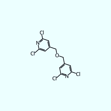 Clc1cc(COCc2cc(Cl)nc(Cl)c2)cc(Cl)n1